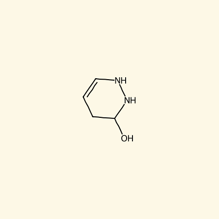 OC1CC=CNN1